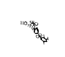 O=C(Oc1ccc(OC(=O)C(F)(F)S(=O)(=O)O)cc1)c1cc(I)cc(I)c1I